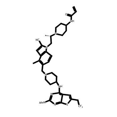 C=CC(=O)NC1CCN([C@@H](C)Cn2c(C#N)cc3c(C)c(CN4CCC(Nc5nc(NC)nc6sc(CC(F)(F)F)cc56)CC4)ccc32)CC1